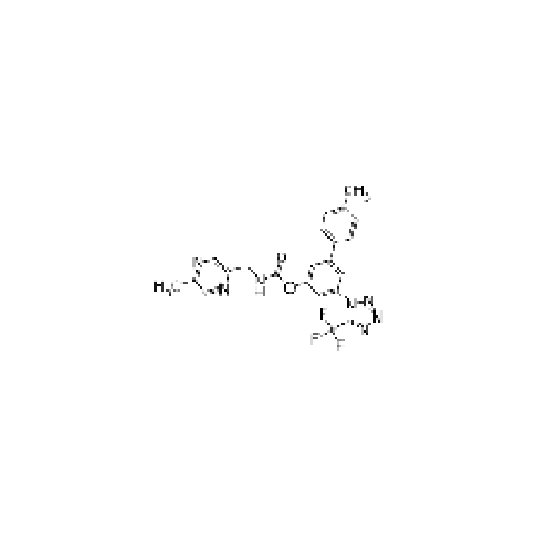 Cc1ccc(-c2cc(OC(=O)NCc3cnc(C)cn3)cc(-n3nnnc3C(F)(F)F)c2)cc1